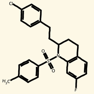 Cc1ccc(S(=O)(=O)N2c3cc(F)ccc3CCC2CCc2ccc(Cl)cc2)cc1